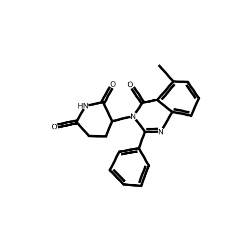 Cc1cccc2nc(-c3ccccc3)n(C3CCC(=O)NC3=O)c(=O)c12